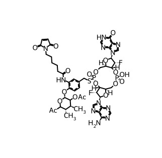 CC(=O)OC1[C@H](Oc2ccc(CSP3(=O)OC[C@H]4O[C@@H](n5cnc6c(=O)[nH]cnc65)[C@H](F)[C@@H]4OP(=O)(O)OC[C@H]4O[C@@H](n5cnc6c(N)ncnc65)[C@H](F)[C@@H]4O3)cc2NC(=O)CCCCCN2C(=O)C=CC2=O)OC(C(C)=O)[C@@H](C)[C@@H]1C